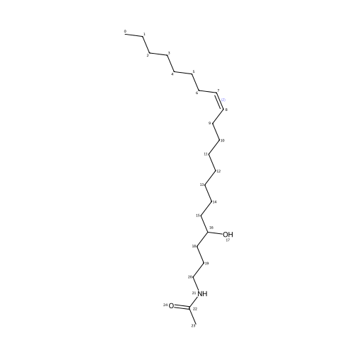 CCCCCCC/C=C\CCCCCCCC(O)CCCNC(C)=O